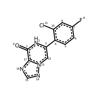 O=c1[nH]c(-c2ccc(F)cc2Cl)cn2ncnc12